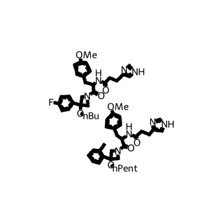 CCCCCOC1(c2ccccc2C)CN(C(=O)C(Cc2ccc(OC)cc2)NC(=O)CCc2c[nH]cn2)C1.CCCCOC1(c2ccc(F)cc2)CN(C(=O)C(Cc2ccc(OC)cc2)NC(=O)CCc2c[nH]cn2)C1